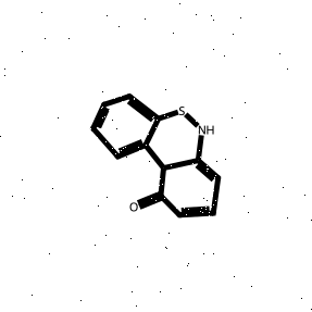 O=C1C=CC=C2NSc3ccccc3C12